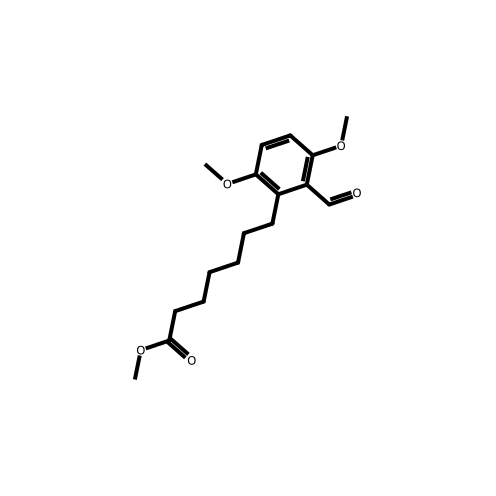 COC(=O)CCCCCCc1c(OC)ccc(OC)c1C=O